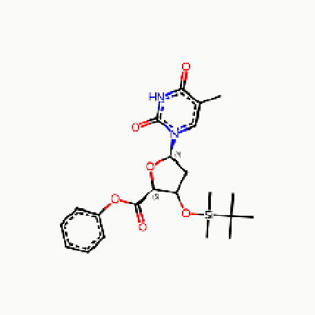 Cc1cn([C@H]2CC(O[Si](C)(C)C(C)(C)C)[C@@H](C(=O)Oc3ccccc3)O2)c(=O)[nH]c1=O